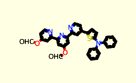 O=COc1ccnc(-c2cc(OC=O)cc(-c3cc(-c4ccc(N(c5ccccc5)c5ccccc5)s4)ccn3)n2)c1